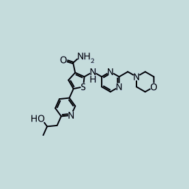 CC(O)Cc1ccc(-c2cc(C(N)=O)c(Nc3ccnc(CN4CCOCC4)n3)s2)cn1